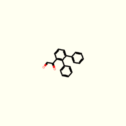 O=[C]C(=O)c1cccc(-c2ccccc2)c1-c1ccccc1